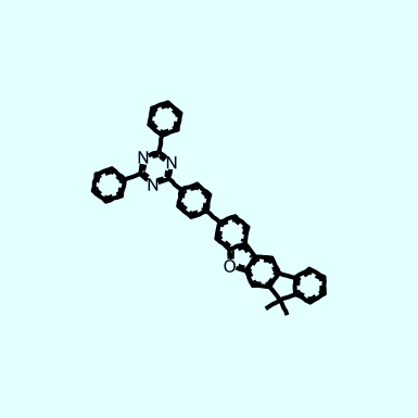 CC1(C)c2ccccc2-c2cc3c(cc21)oc1cc(-c2ccc(-c4nc(-c5ccccc5)nc(-c5ccccc5)n4)cc2)ccc13